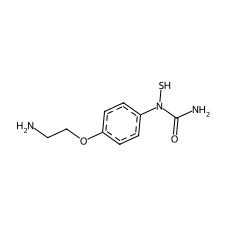 NCCOc1ccc(N(S)C(N)=O)cc1